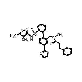 Cc1noc(NS(=O)(=O)c2ccccc2-c2ccc(-c3ncco3)cc2CN(C)C(=O)CCc2ccccc2)c1C